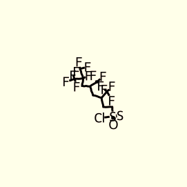 O=S(=S)(Cl)CCC(CC(CC(F)(C(F)(F)F)C(F)(F)F)C(F)(F)F)C(F)(F)F